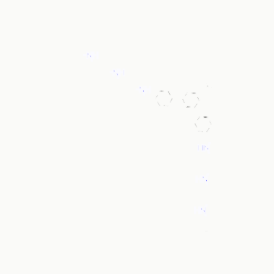 CCC(CC)CNCCCNCCCNCc1ccc(-c2cc(-c3ccc(CNCCCNCCCNCC(CC)CC)cc3)cc(C(C)(C)C)c2)cc1